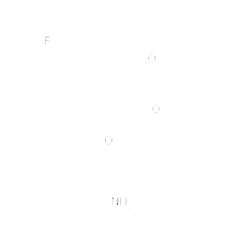 CCOC(=O)c1cc(F)cc2c1OC(C(C)N)C2